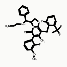 COc1cccc(-c2c(C)c(Cc3c(F)cccc3C(F)(F)F)c3n(c2=O)C(C(NCCN)c2ccccc2)CS3)c1F